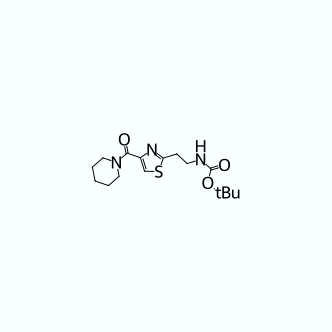 CC(C)(C)OC(=O)NCCc1nc(C(=O)N2CCCCC2)cs1